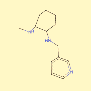 CNC1CCCCC1NCc1cccnc1